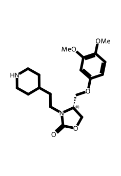 COc1ccc(OC[C@@H]2COC(=O)N2CCC2CCNCC2)cc1OC